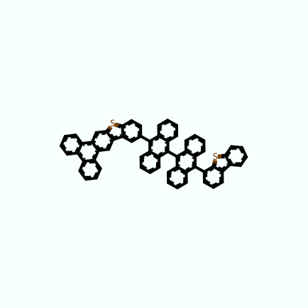 c1ccc2c(c1)sc1c(-c3c4ccccc4c(-c4c5ccccc5c(-c5ccc6sc7cc8c9ccccc9c9ccccc9c8cc7c6c5)c5ccccc45)c4ccccc34)cccc12